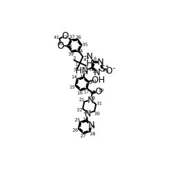 CC(C)(C)[C@@H](Nc1n[s+]([O-])nc1Nc1cccc(C(=O)N2CCN(c3ccccn3)CC2)c1O)c1ccc2c(c1)OCO2